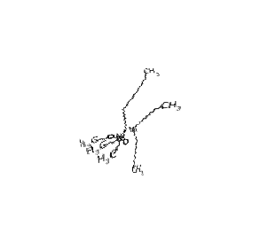 CCCCCCCCCCCCCCCCCCCCCCCCCC#CCCCc1ccccc1C1=C(CCCC)C(CCCC)=C(c2cccc(CCCC)c2)[N+]1=[N-].CCCCCCCCCCCCCCC[CH2][Ni][CH2]CCCCCCCCCCCCCCC